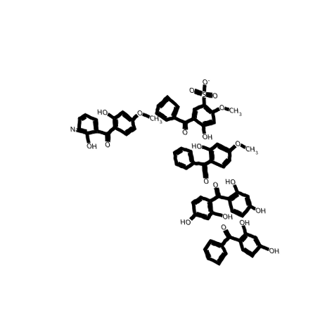 COc1cc(O)c(C(=O)c2ccccc2)cc1S(=O)(=O)[O-].COc1ccc(C(=O)c2ccccc2)c(O)c1.COc1ccc(C(=O)c2ccccc2O)c(O)c1.O=C(c1ccc(O)cc1O)c1ccc(O)cc1O.O=C(c1ccccc1)c1ccc(O)cc1O.[Na+]